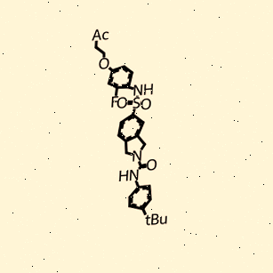 CC(=O)CCOc1ccc(NS(=O)(=O)c2ccc3c(c2)CN(C(=O)Nc2ccc(C(C)(C)C)cc2)C3)c(F)c1